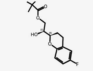 CC(C)(C)C(=O)OC[C@H](O)[C@H]1CCc2cc(F)ccc2O1